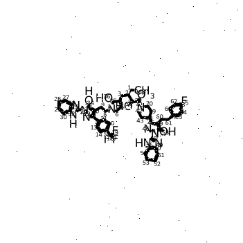 CC[C@H](CC1CCN(CCc2c(-c3ccc(C(F)(F)F)cc3)nn(-c3nc4ccccc4[nH]3)c2O)C1O)[C@H](O)C(=O)N1CCC(c2nn(-c3nc4ccccc4[nH]3)c(O)c2CCc2ccc(F)cc2)CC1